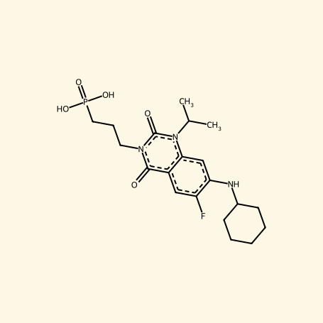 CC(C)n1c(=O)n(CCCP(=O)(O)O)c(=O)c2cc(F)c(NC3CCCCC3)cc21